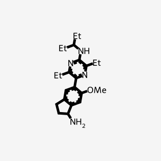 CCc1nc(-c2cc3c(cc2OC)C(N)CC3)c(CC)nc1NC(CC)CC